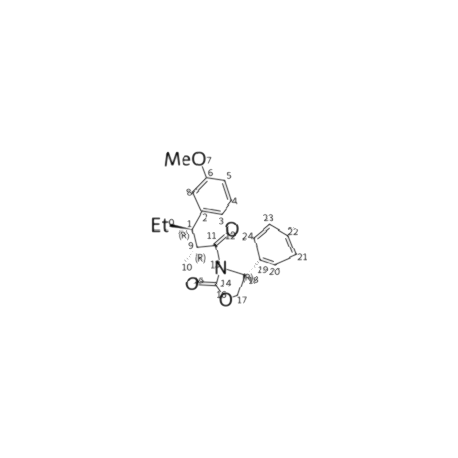 CC[C@@H](c1cccc(OC)c1)[C@@H](C)C(=O)N1C(=O)OC[C@H]1c1ccccc1